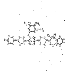 Cc1cc(CC(OC(=O)N2CCC(N3CCc4ccccc4NC3=O)CC2)C(=O)N2CCC(N3CCNCC3)CC2)cc(C)c1N